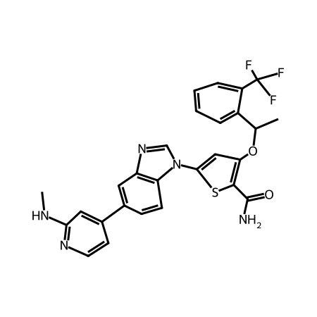 CNc1cc(-c2ccc3c(c2)ncn3-c2cc(OC(C)c3ccccc3C(F)(F)F)c(C(N)=O)s2)ccn1